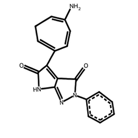 NC1=CCC=C(C2=C3C(=O)N(c4ccccc4)N=C3NC2=O)C=C1